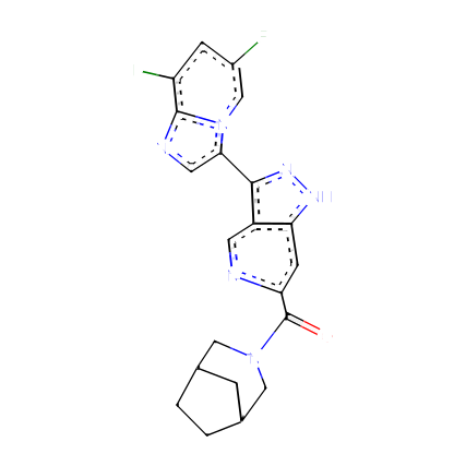 O=C(c1cc2[nH]nc(-c3cnc4c(F)cc(F)cn34)c2cn1)N1CC2CCC(C2)C1